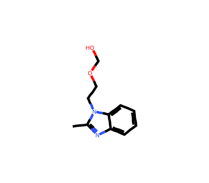 Cc1nc2ccccc2n1CCOCO